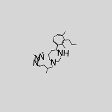 C=NN(C)/N=C\CC(C)CN1CCC[C@@H](C2=CCC=C(C)C(CCC)=C2C)NCC1